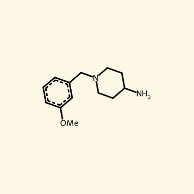 COc1cccc(CN2CCC(N)CC2)c1